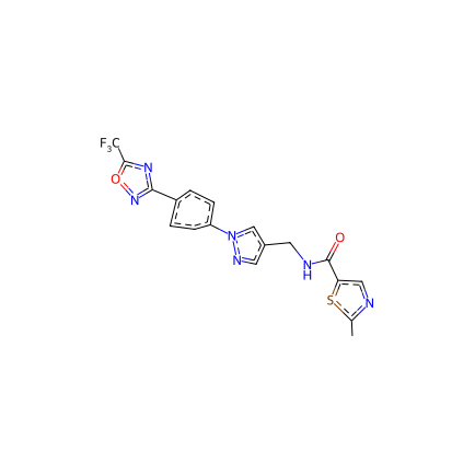 Cc1ncc(C(=O)NCc2cnn(-c3ccc(-c4noc(C(F)(F)F)n4)cc3)c2)s1